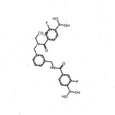 O=C(O)CN(Cc1cccc(CNC(=O)c2ccc(B(O)O)c(F)c2)c1)C(=O)c1ccc(B(O)O)c(F)c1